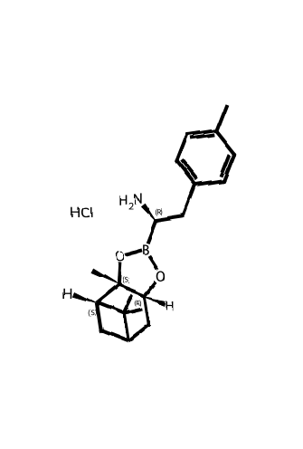 Cc1ccc(C[C@H](N)B2O[C@@H]3CC4C[C@@H](C4(C)C)[C@]3(C)O2)cc1.Cl